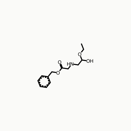 CCOC(O)CNCC(=O)OCc1ccccc1